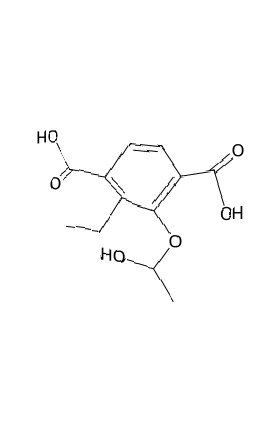 CCc1c(C(=O)O)ccc(C(=O)O)c1OC(C)O